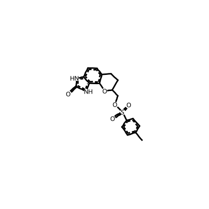 Cc1ccc(S(=O)(=O)OCC2CCc3ccc4[nH]c(=O)[nH]c4c3O2)cc1